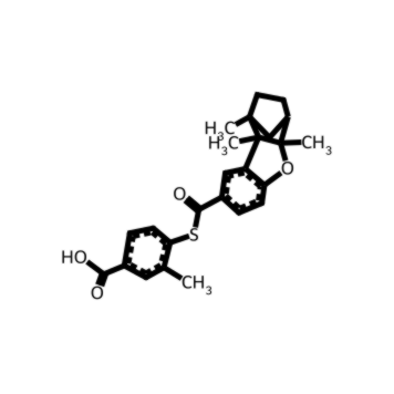 Cc1cc(C(=O)O)ccc1SC(=O)c1ccc2c(c1)C1(C)C3(C)CCC(C3)C1(C)O2